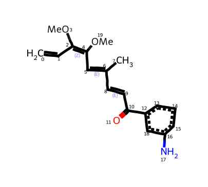 C=C\C(OC)=C(/C=C(C)/C=C/C(=O)c1cccc(N)c1)OC